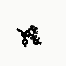 CCCn1cc(C2CCN(C)CC2)c2cc(OS(=O)(=O)c3cccc(F)c3F)ccc21.O=C(O)C(=O)O